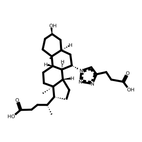 C[C@H](CCC(=O)O)[C@H]1CC[C@H]2[C@@H]3[C@@H](n4cc(CCC(=O)O)nn4)C[C@@H]4C[C@H](O)CC[C@]4(C)[C@H]3CC[C@]12C